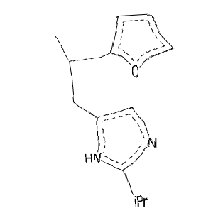 CC(C)c1ncc(CC(C)c2ccco2)[nH]1